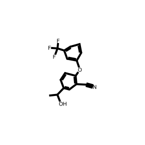 CC(O)c1ccc(Oc2cccc(C(F)(F)F)c2)c(C#N)c1